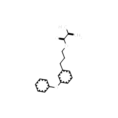 C=C(C)C(=O)OCCCc1cccc(Oc2ccccc2)c1